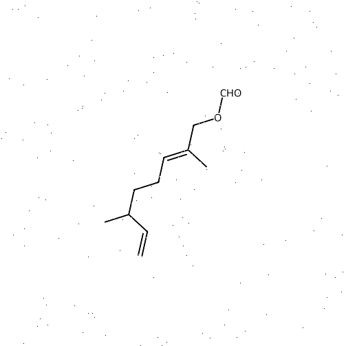 C=CC(C)CC/C=C(\C)COC=O